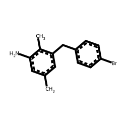 Cc1cc(N)c(C)c(Cc2ccc(Br)cc2)c1